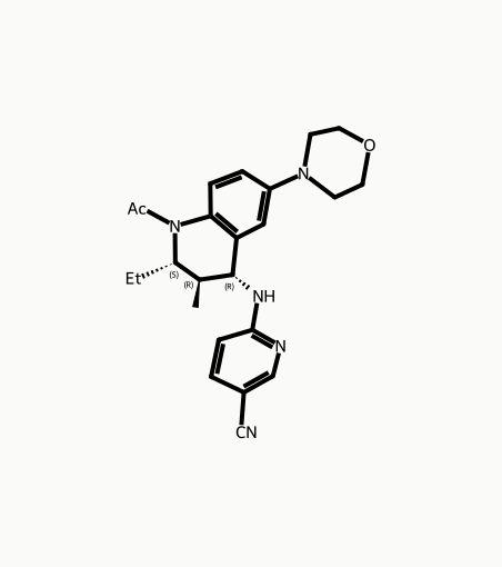 CC[C@H]1[C@H](C)[C@@H](Nc2ccc(C#N)cn2)c2cc(N3CCOCC3)ccc2N1C(C)=O